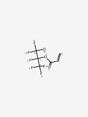 C=CC(=O)OC(F)(C(F)(F)F)C(F)(F)Cl